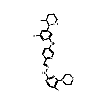 CC1CCCNN1c1cc(O)cc(Nc2ccc(/C=N/Nc3ncc(F)c(N4CCOCC4)n3)nc2)c1